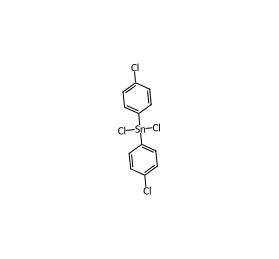 Clc1cc[c]([Sn]([Cl])([Cl])[c]2ccc(Cl)cc2)cc1